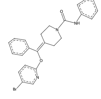 O=C(Nc1cccnc1)N1CCC(=C(Oc2ccc(Br)cn2)c2ccccc2)CC1